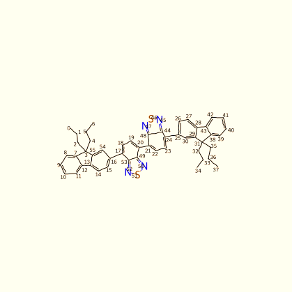 CCCC1(CCC)c2ccccc2-c2ccc(-c3ccc(-c4ccc(-c5ccc6c(c5)C(CCC)(CCC)c5ccccc5-6)c5nsnc45)c4nsnc34)cc21